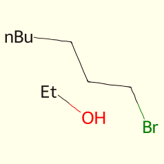 CCCCCCCBr.CCO